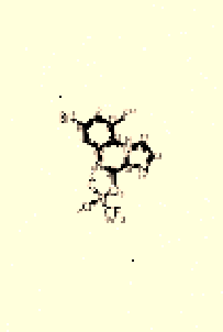 O=S(=O)(Oc1nc2cc(Br)cc(F)c2n2ccnc12)C(F)(F)F